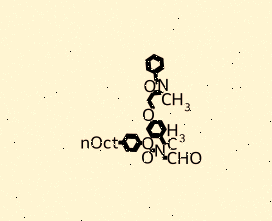 CCCCCCCCc1ccc(OC(=O)N(CC=O)[C@@H](C)c2ccc(OCCc3oc(-c4ccccc4)nc3C)cc2)cc1